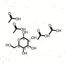 CC(=O)O.CC(=O)O.CC(=O)O.CC(=O)O.OC[C@H]1O[C@@H](O)[C@H](O)[C@@H](O)[C@H]1O